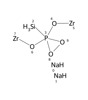 [NaH].[NaH].[SiH3]P1([O][Zr])([O][Zr])OO1